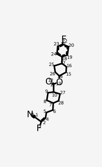 N#C/C(F)=C\CCC1CCC(C(=O)OC2CCC(c3ccc(F)cc3)CC2)CC1